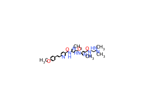 C/N=C(\CCNC(=O)c1cc(NC(=O)c2cc(NC(=O)c3ccc(/C=C/c4ccc(OC)cc4)nc3)cn2C)cn1C)NC